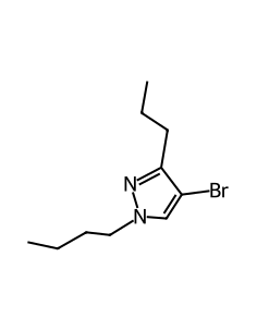 CCCCn1cc(Br)c(CCC)n1